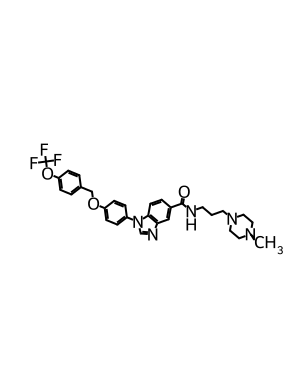 CN1CCN(CCCNC(=O)c2ccc3c(c2)ncn3-c2ccc(OCc3ccc(OC(F)(F)F)cc3)cc2)CC1